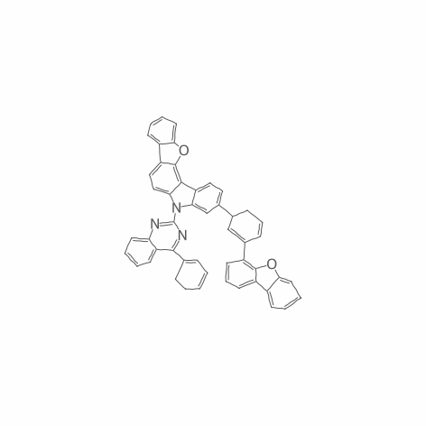 C1=CCCC(c2nc(-n3c4cc(C5C=C(c6cccc7c6oc6ccccc67)C=CC5)ccc4c4c5oc6ccccc6c5ccc43)nc3ccccc23)=C1